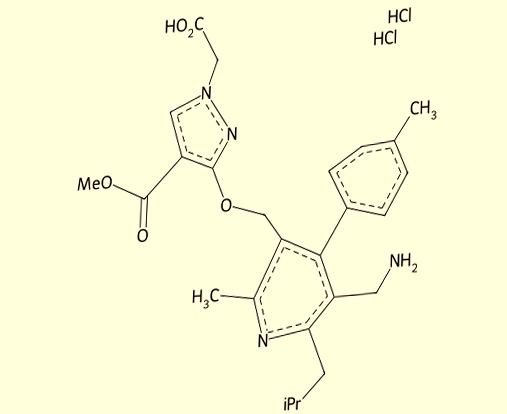 COC(=O)c1cn(CC(=O)O)nc1OCc1c(C)nc(CC(C)C)c(CN)c1-c1ccc(C)cc1.Cl.Cl